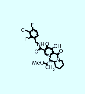 C=C(OC)[C@H]1C2CCCCN2C(=O)c2c(O)c(=O)c(C(=O)NCc3ccc(F)c(Cl)c3F)cn21